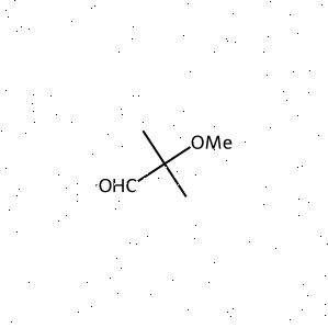 COC(C)(C)[C]=O